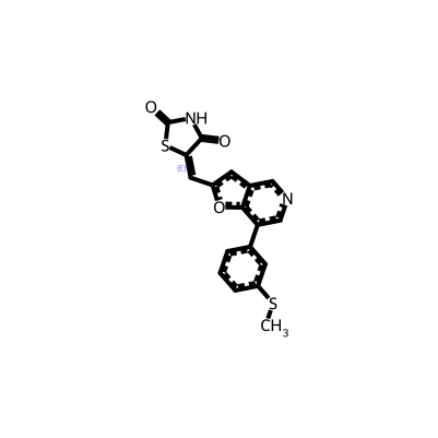 CSc1cccc(-c2cncc3cc(/C=C4/SC(=O)NC4=O)oc23)c1